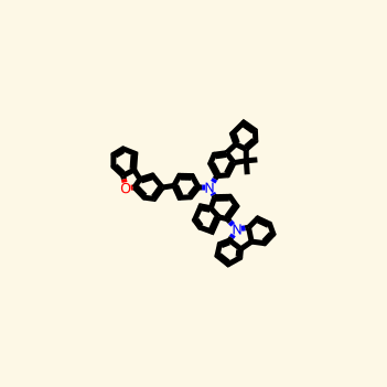 CC1(C)c2ccccc2-c2ccc(N(c3ccc(-c4ccc5oc6ccccc6c5c4)cc3)c3ccc(N4c5ccccc5C5C=CC=CC54)c4ccccc34)cc21